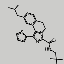 CC(C)Cc1ccc2c(c1)-c1c(-c3cccs3)nc(C(=O)NCC(C)(C)C)n1CC2